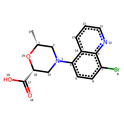 C[C@@H]1CN(c2ccc(Br)c3ncccc23)C[C@H](C(=O)O)O1